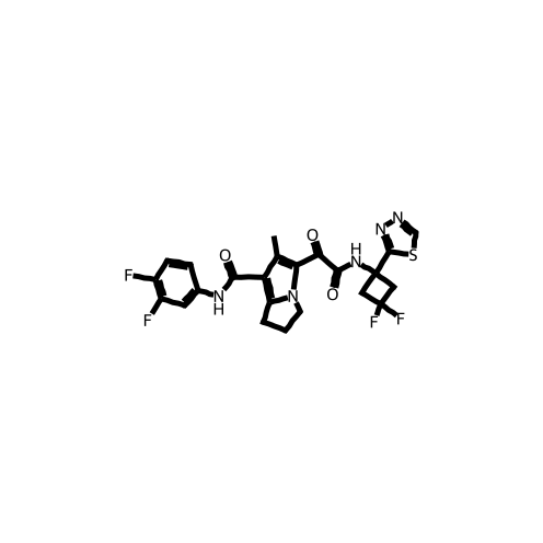 Cc1c(C(=O)Nc2ccc(F)c(F)c2)c2n(c1C(=O)C(=O)NC1(c3nncs3)CC(F)(F)C1)CCC2